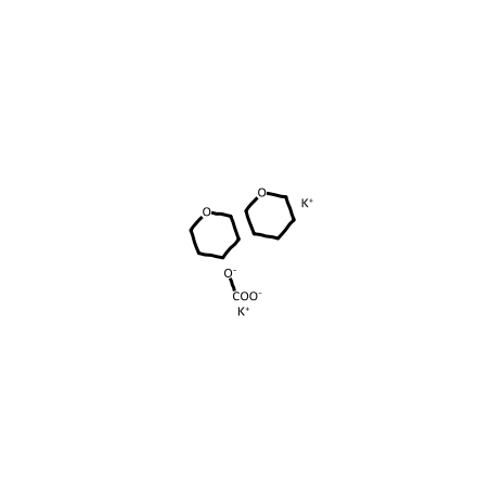 C1CCOCC1.C1CCOCC1.O=C([O-])[O-].[K+].[K+]